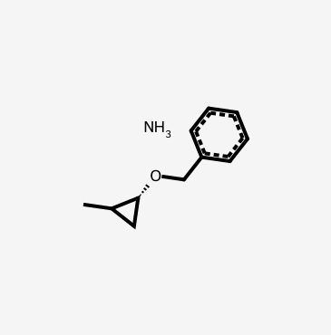 CC1C[C@H]1OCc1ccccc1.N